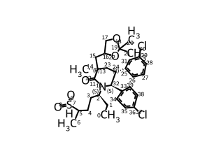 CC[C@@H](CCC(C)[SH](=O)=O)N1C(=O)[C@@](C)(CC2COC(C)(C)O2)C[C@H](c2cccc(Cl)c2)[C@H]1c1ccc(Cl)cc1